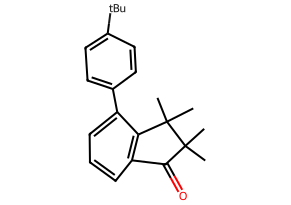 CC(C)(C)c1ccc(-c2cccc3c2C(C)(C)C(C)(C)C3=O)cc1